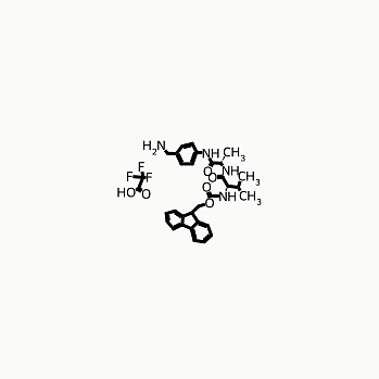 CC(C)[C@H](NC(=O)OCC1c2ccccc2-c2ccccc21)C(=O)N[C@@H](C)C(=O)Nc1ccc(CN)cc1.O=C(O)C(F)(F)F